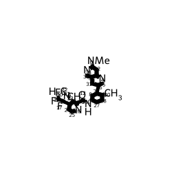 CNc1cc2ncc(-c3cc(NC(=O)c4cc(C(F)(C(F)F)N(C)C)ccn4)ccc3C)cc2cn1